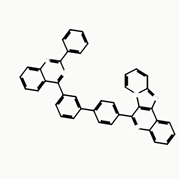 c1ccc(-c2nc(-c3cccc(-c4ccc(-c5nc6ccccc6c6nc7ccccn7c56)cc4)c3)c3ccccc3n2)cc1